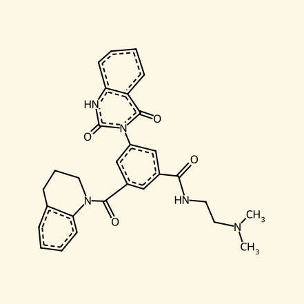 CN(C)CCNC(=O)c1cc(C(=O)N2CCCc3ccccc32)cc(-n2c(=O)[nH]c3ccccc3c2=O)c1